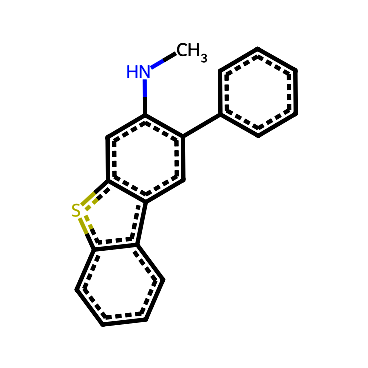 CNc1cc2sc3ccccc3c2cc1-c1ccccc1